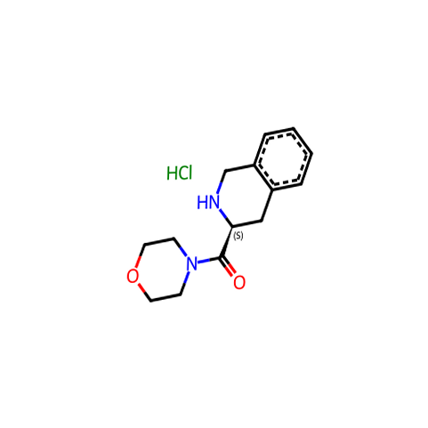 Cl.O=C([C@@H]1Cc2ccccc2CN1)N1CCOCC1